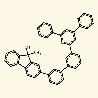 CC1(C)c2ccccc2-c2ccc(-c3cccc(-c4cccc(-c5cc(-c6ccccc6)cc(-c6ccccc6)n5)c4)c3)cc21